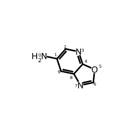 Nc1cnc2ocnc2c1